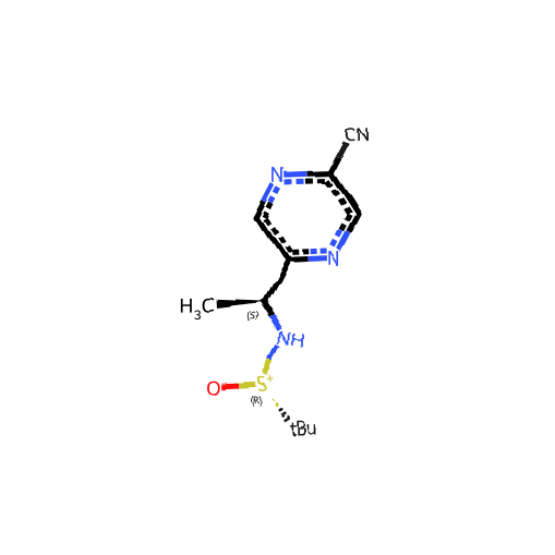 C[C@H](N[S@@+]([O-])C(C)(C)C)c1cnc(C#N)cn1